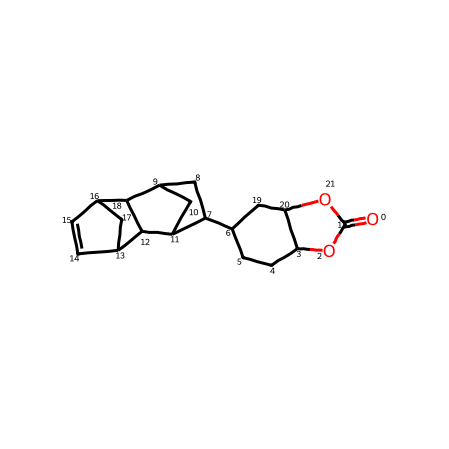 O=C1OC2CCC(C3CC4CC3C3C5C=CC(C5)C43)CC2O1